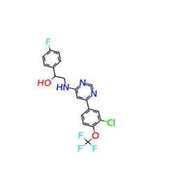 OC(CNc1cc(-c2ccc(OC(F)(F)F)c(Cl)c2)ncn1)c1ccc(F)cc1